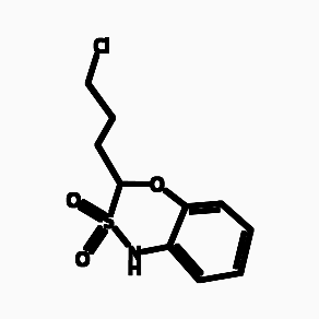 O=S1(=O)Nc2ccccc2OC1CCCCl